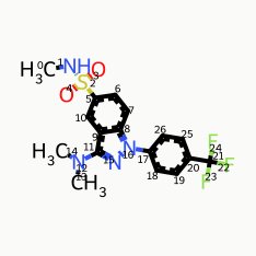 CNS(=O)(=O)c1ccc2c(c1)c(N(C)C)nn2-c1ccc(C(F)(F)F)cc1